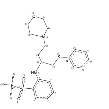 O=S(=O)(c1ccccc1NC(CCN1CCOCC1)CSc1ccccc1)C(F)(F)F